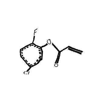 C=CC(=O)Oc1cc(Cl)ccc1F